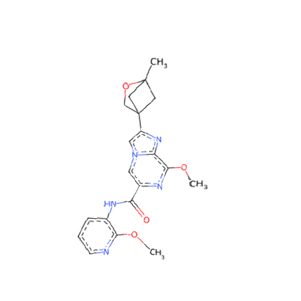 COc1ncccc1NC(=O)c1cn2cc(C34COC(C)(C3)C4)nc2c(OC)n1